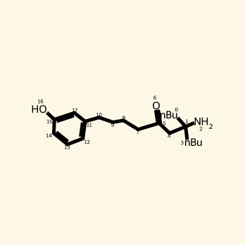 CCCCC(N)(CCCC)CC(=O)CCCCc1cccc(O)c1